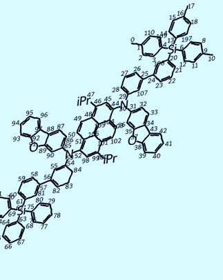 Cc1ccc([Si](c2ccc(C)cc2)(c2ccc(C)cc2)c2cccc(-c3cccc(N(c4ccc5c(c4)oc4ccccc45)c4cc(C(C)C)c5ccc6c(N(C7=CC(c8cccc([Si](c9ccccc9)(c9ccccc9)c9ccccc9)c8)=CCC7)c7ccc8c(c7)oc7ccccc78)cc(C(C)C)c7ccc4c5c76)c3)c2)cc1